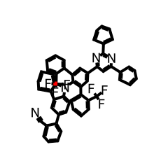 N#Cc1ccccc1-c1ccc2c(c1)c1ccccc1n2-c1c(-c2ccccc2C(F)(F)F)cc(-c2cc(-c3ccccc3)nc(-c3ccccc3)n2)cc1-c1ccccc1C(F)(F)F